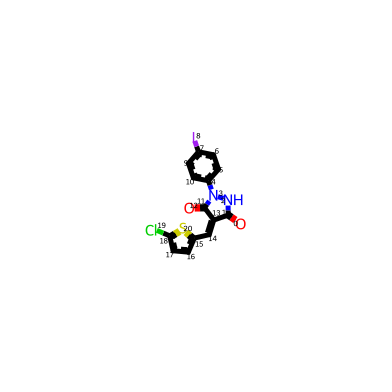 O=C1NN(c2ccc(I)cc2)C(=O)C1=Cc1ccc(Cl)s1